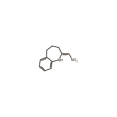 O=[N+]([O-])C=C1CCCc2ccccc2N1